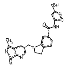 Cc1n[nH]c2ncc(CN3CCc4ccc(C(=O)Nc5cc(C(C)(C)C)no5)cc43)cc12